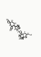 CCc1cc2c(OCc3cc(-c4ccc(OC)cc4OC)no3)ncnc2s1